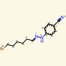 N#Cc1ccc(N/N=C/CCCCCBr)cc1